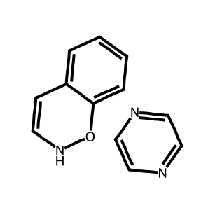 C1=Cc2ccccc2ON1.c1cnccn1